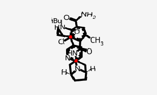 CC[C@@H](C)Nc1c(C(N)=O)cc(C)c(C(=O)N[C@H]2C[C@H]3CC[C@@H](C2)N3c2ccc(C(=O)C3CC3)cn2)c1Cl